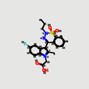 CCCN1N=C(c2c(C)n(CC(=O)O)c3ccc(F)cc23)c2ccccc2S1(=O)=O